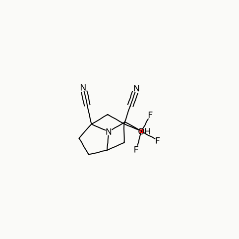 N#CC1(O)CC2CCC(C#N)(C1)N2CC(F)(F)F